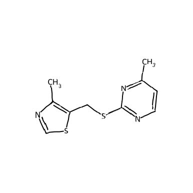 Cc1ccnc(SCc2scnc2C)n1